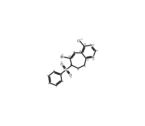 O=S(=O)(c1ccccc1)C1CCc2ncnc(Cl)c2C=C1Br